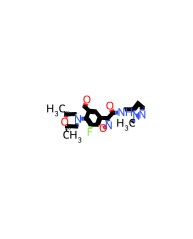 C[C@@H]1CN(c2c(C=O)cc3c(C(=O)NCc4ccnn4C)noc3c2F)C[C@H](C)O1